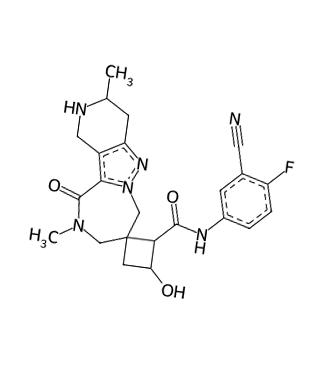 CC1Cc2nn3c(c2CN1)C(=O)N(C)CC1(CC(O)C1C(=O)Nc1ccc(F)c(C#N)c1)C3